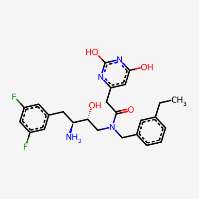 CCc1cccc(CN(C[C@@H](O)[C@@H](N)Cc2cc(F)cc(F)c2)C(=O)Cc2cc(O)nc(O)n2)c1